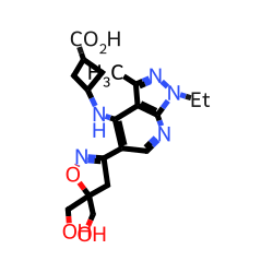 CCn1nc(C)c2c(NC3CC(C(=O)O)C3)c(C3=NOC(CO)(CO)C3)cnc21